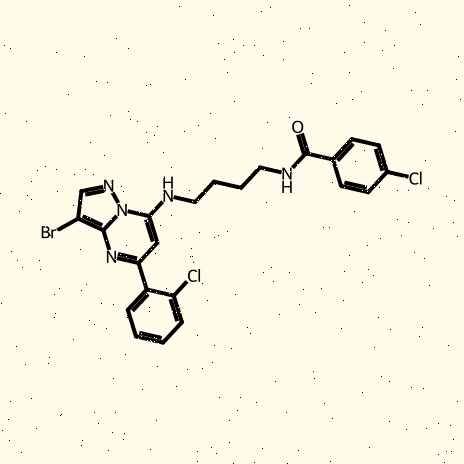 O=C(NCCCCNc1cc(-c2ccccc2Cl)nc2c(Br)cnn12)c1ccc(Cl)cc1